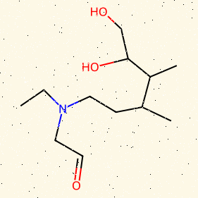 CCN(CC=O)CCC(C)C(C)C(O)CO